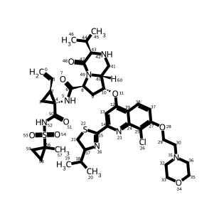 C=C[C@@H]1C[C@]1(NC(=O)[C@@H]1C[C@@H](Oc2cc(C3=NC(C(C)C)CS3)nc3c(Cl)c(OCCN4CCOCC4)ccc23)[C@H]2CN[C@H](C(C)C)C(=O)N21)C(=O)NS(=O)(=O)C1(C)CC1